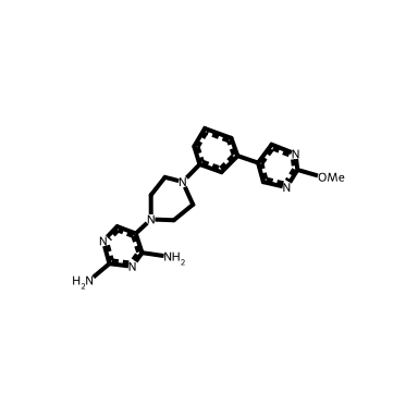 COc1ncc(-c2cccc(N3CCN(c4cnc(N)nc4N)CC3)c2)cn1